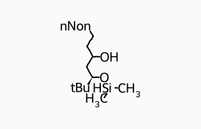 CCCCCCCCCCCC(O)C[C@@H](O[SiH](C)C)C(C)(C)C